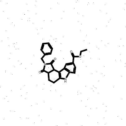 CCOC(=O)c1ccc2[nH]c3c(c2c1)C1C(=O)N(Cc2ccccc2)C(=O)C1CC3